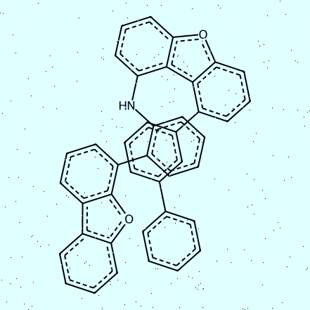 c1ccc(-c2cccc(-c3cccc4oc5cccc(Nc6ccccc6-c6cccc7c6oc6ccccc67)c5c34)c2)cc1